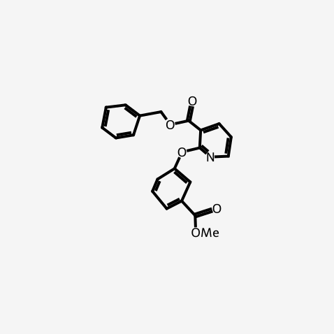 COC(=O)c1cccc(Oc2ncccc2C(=O)OCc2ccccc2)c1